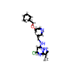 CCc1cnn2c(NCc3cncc(OCc4ccccc4)c3)cc(Cl)nc12